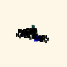 C=C(C)/C(CCCc1cc(F)ccc1-c1ccc2nnc(CN(C)C)n2c1)=C(/C)N(C)C